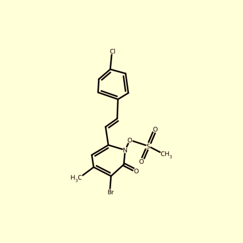 Cc1cc(/C=C/c2ccc(Cl)cc2)n(OS(C)(=O)=O)c(=O)c1Br